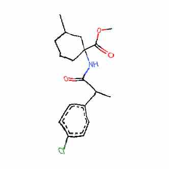 COC(=O)C1(NC(=O)C(C)c2ccc(Cl)cc2)CCCC(C)C1